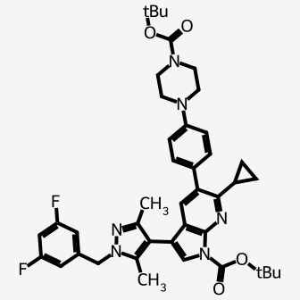 Cc1nn(Cc2cc(F)cc(F)c2)c(C)c1-c1cn(C(=O)OC(C)(C)C)c2nc(C3CC3)c(-c3ccc(N4CCN(C(=O)OC(C)(C)C)CC4)cc3)cc12